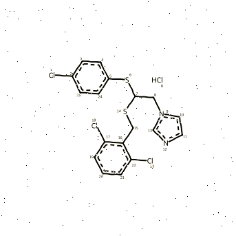 Cl.Clc1ccc(SC(Cn2ccnc2)SCc2c(Cl)cccc2Cl)cc1